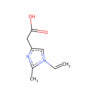 C=Cn1cc(CC(=O)O)nc1C